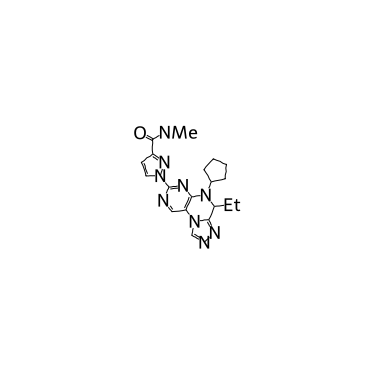 CCC1c2nncn2-c2cnc(-n3ccc(C(=O)NC)n3)nc2N1C1CCCC1